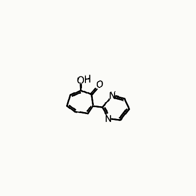 O=c1c(O)ccccc1-c1ncccn1